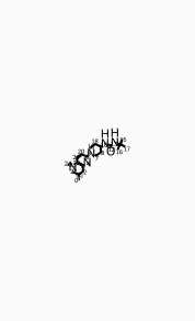 C[C@@H]1Cc2nc(N3CCC(NC(=O)NC(C)(C)C)CC3)ccc2N(C)C1